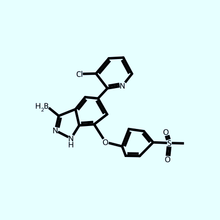 Bc1n[nH]c2c(Oc3ccc(S(C)(=O)=O)cc3)cc(-c3ncccc3Cl)cc12